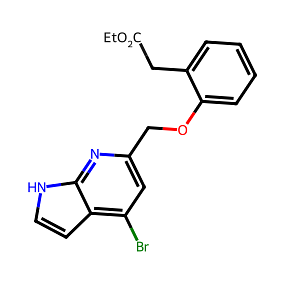 CCOC(=O)Cc1ccccc1OCc1cc(Br)c2cc[nH]c2n1